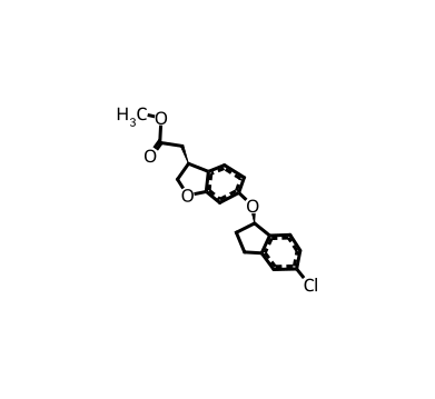 COC(=O)C[C@@H]1COc2cc(O[C@@H]3CCc4cc(Cl)ccc43)ccc21